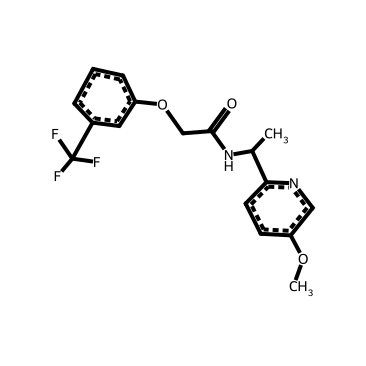 COc1ccc(C(C)NC(=O)COc2cccc(C(F)(F)F)c2)nc1